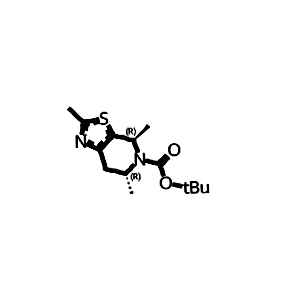 Cc1nc2c(s1)[C@@H](C)N(C(=O)OC(C)(C)C)[C@H](C)C2